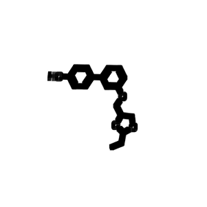 CCC1OCC(COc2cccc(-c3ccc(O)cc3)c2)O1